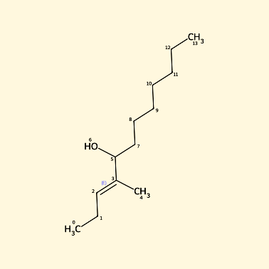 CC/C=C(\C)C(O)CCCCCCC